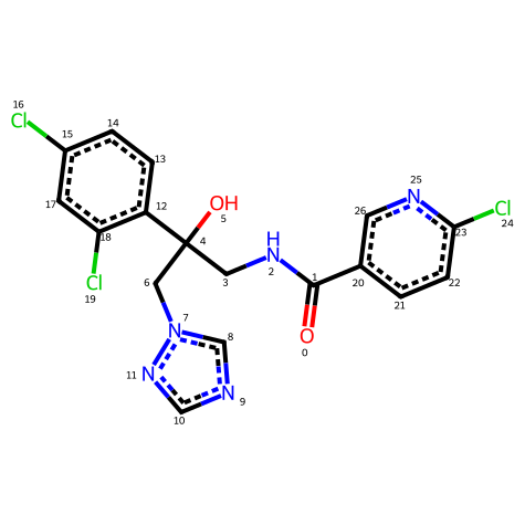 O=C(NCC(O)(Cn1cncn1)c1ccc(Cl)cc1Cl)c1ccc(Cl)nc1